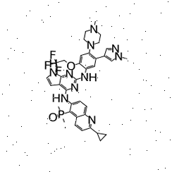 CN1CCN(c2cc(OCC(F)(F)F)c(Nc3nc(Nc4ccc5nc(C6CC6)ccc5c4P(C)(C)=O)c4cc[nH]c4n3)cc2-c2cnn(C)c2)CC1